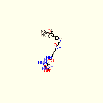 C=C1N[C@H]2[C@H](COC(=O)NCCCCCCNC(=O)CCCN(C)c3ccc(/C=C/C4=C(C#N)C(=C(C#N)C#N)OC4(C)C)cc3)NC(=N)N3CCC(O)(O)[C@]23N1